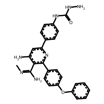 C/N=C(/N)c1c(N)cc(-c2ccc(NC(=O)NN)cc2)nc1-c1ccc(Oc2ccccc2)cc1